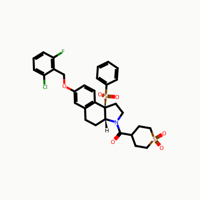 O=C(C1CCS(=O)(=O)CC1)N1CC[C@@]2(S(=O)(=O)c3ccccc3)c3ccc(OCc4c(F)cccc4Cl)cc3CC[C@@H]12